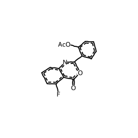 CC(=O)Oc1ccccc1-c1nc2cccc(F)c2c(=O)o1